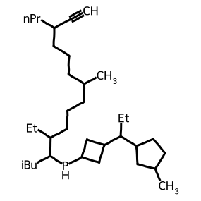 C#CC(CCC)CCCC(C)CCCC(CC)C(PC1CC(C(CC)C2CCC(C)C2)C1)C(C)CC